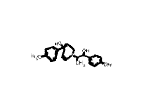 Cc1ccc(C2(O)CCN(C(C)C(O)c3ccc(O)cc3)CC2)cc1